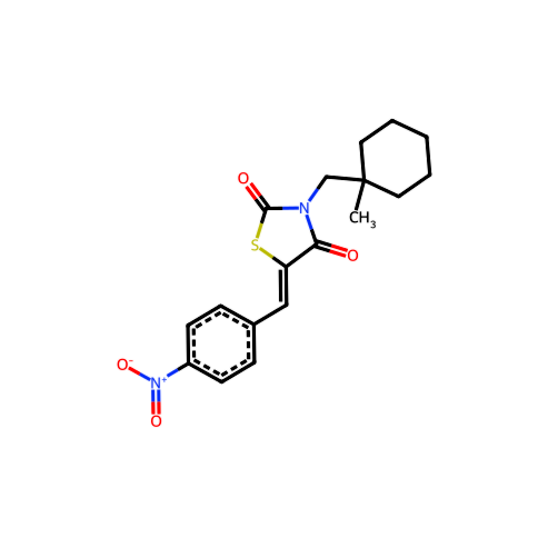 CC1(CN2C(=O)S/C(=C\c3ccc([N+](=O)[O-])cc3)C2=O)CCCCC1